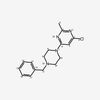 Cc1nc(Cl)cc(N2CCN(Cc3ccccc3)CC2)n1